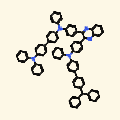 c1ccc(C(c2ccccc2)c2ccc(-c3ccc(N(c4ccccc4)c4ccc(-c5nc6ccccc6nc5-c5ccc(N(c6ccccc6)c6ccc(-c7ccc(N(c8ccccc8)c8ccccc8)cc7)cc6)cc5)cc4)cc3)cc2)cc1